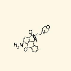 Nc1ccc2c(=O)n(CCN3CCOCC3)nc3c2c1C(=O)c1ccccc1-3